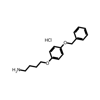 Cl.NCCCCOc1ccc(OCc2ccccc2)cc1